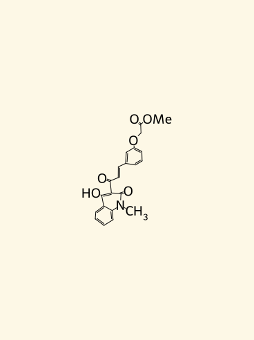 COC(=O)COc1cccc(C=CC(=O)c2c(O)c3ccccc3n(C)c2=O)c1